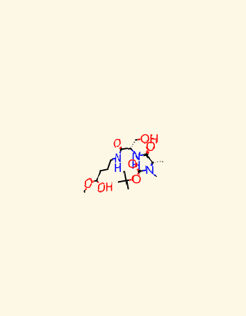 COC(O)CCCNC(=O)[C@H](CO)NC(=O)[C@H](C)N(C)C(=O)OC(C)(C)C